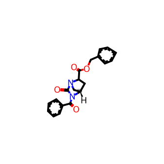 O=C(OCc1ccccc1)C1C[C@H]2CN1C(=O)N2C(=O)c1ccccc1